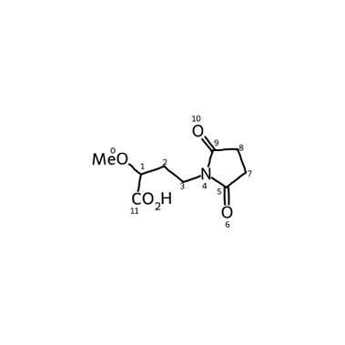 COC(CCN1C(=O)CCC1=O)C(=O)O